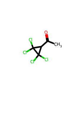 CC(=O)C1C(Cl)(Cl)C1(Cl)Cl